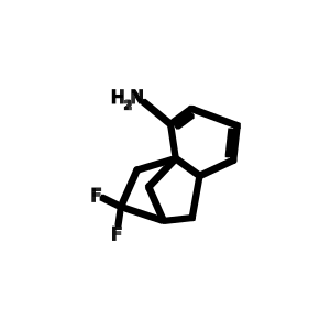 NC1=CC=CC2CC3CC12CC3(F)F